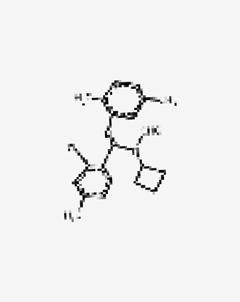 Cc1ccc(/C(=N/c2cc(C)ccc2C)N(C=O)C2CCC2)c(Cl)c1